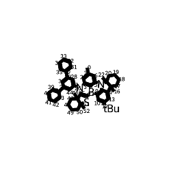 Cc1cc2c3c(c1)N1c4c(cc(C(C)(C)C)cc4C4(C)CCCCC14C)B3C1=C(N2c2cc(-c3ccccc3)cc(-c3ccccc3)c2)C2(C)CCCCC2(C)S1